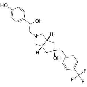 Oc1ccc(C(O)CN2C[C@@H]3C[C@](O)(Cc4ccc(C(F)(F)F)cc4)C[C@@H]3C2)cc1